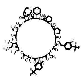 CC[C@H](C)[C@@H]1NC(=O)[C@H](CC)N(C)C(=O)C[C@@H](C(=O)N2C3CCC2COC3)N(C)C(=O)[C@H](C2CCCCC2)N(C)C(=O)C2(CCCC2)NC(=O)[C@@H]2CCCN2C(=O)[C@H](CCc2ccc(C(F)(F)F)c(Cl)c2)NC(=O)CN(C)C(=O)[C@H](Cc2ccc(C(F)(F)F)cc2)N(C)C(=O)CN(C)C(=O)CN(C)C1=O